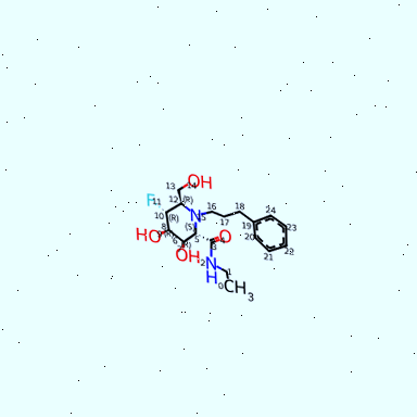 CCNC(=O)[C@@H]1[C@@H](O)[C@@H](O)[C@H](F)[C@@H](CO)N1CCCc1ccccc1